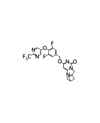 O=c1nc(OCc2cc(F)c(Oc3cnc(C(F)(F)F)nc3)c(F)c2)cc2n1CC13CC(CN21)C3